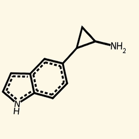 NC1CC1c1ccc2[nH]ccc2c1